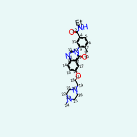 CCNC(=O)c1ccc(C)c(-n2cnc3ccc(OCCN4CCN(C)CC4)cc3c2=O)c1